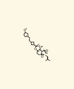 CO[C@H]1CCN(CCC2CN(C(=O)O[C@@H]3CC[C@]4(CO4)C([C@@]4(C)O[C@@H]4CC=C(C)C)[C@@H]3OC)C2)C1